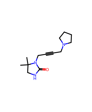 CC1(C)CNC(=O)N1CC#CCN1CCCC1